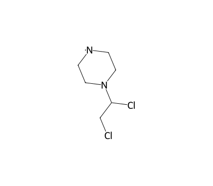 ClCC(Cl)N1CC[N]CC1